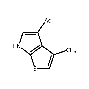 CC(=O)c1c[nH]c2scc(C)c12